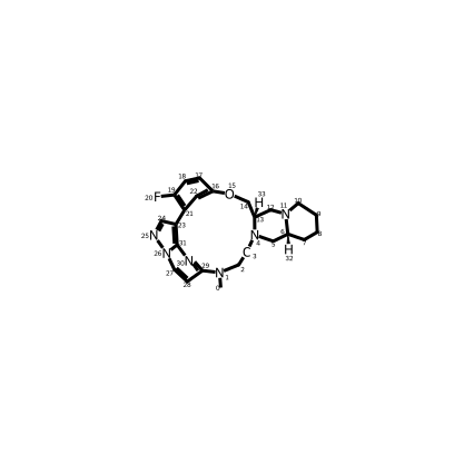 CN1CCN2C[C@H]3CCCCN3C[C@H]2COc2ccc(F)c(c2)-c2cnn3ccc1nc23